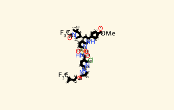 COC(=O)c1ccc(C(CC[C@@H]2CN(C(=O)C(F)(F)F)C(C)(C)C2)Nc2cccc(S(=O)(=O)NC(=O)c3ccc(-n4ccc(OCCC5CC5C(F)(F)F)n4)nc3Cl)n2)cc1